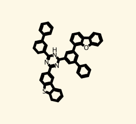 C1=CCC2Sc3ccc(C4=NC(c5cc(-c6ccccc6)cc(-c6cccc7c6oc6ccccc67)c5)NC(C5=CC(c6ccccc6)=CCC5)=N4)cc3C2=C1